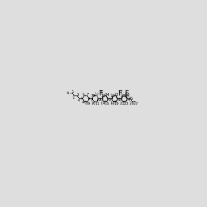 CCCCCC1CCC(C2CC=C(c3ccc(-c4ccc(-c5ccc(CCC)c(F)c5F)cc4)cc3F)CC2)CC1